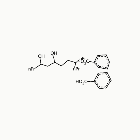 CCCC(O)CC(O)CCC(CCC)CCC.O=C(O)c1ccccc1.O=C(O)c1ccccc1